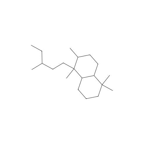 CCC(C)CCC1(C)C(C)CCC2C1CCCC2(C)C